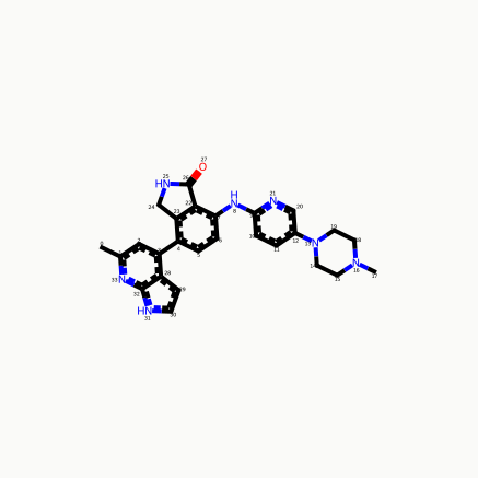 Cc1cc(-c2ccc(Nc3ccc(N4CCN(C)CC4)cn3)c3c2CNC3=O)c2cc[nH]c2n1